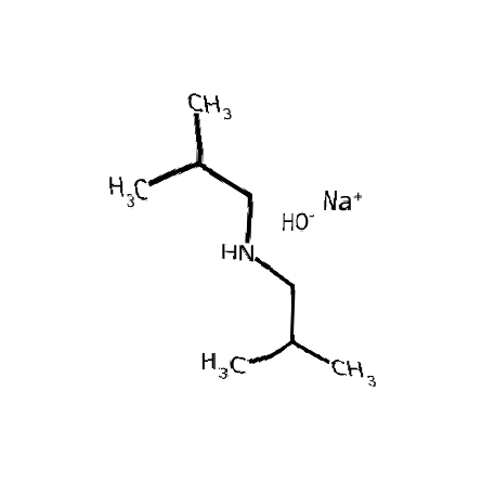 CC(C)CNCC(C)C.[Na+].[OH-]